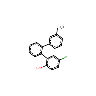 O=C(O)c1cccc(-c2ccccc2-c2cc(F)ccc2O)c1